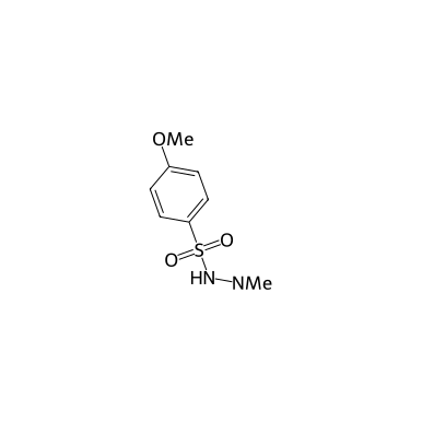 CNNS(=O)(=O)c1ccc(OC)cc1